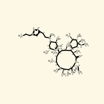 CCCn1cc(CCN(C)[C@H]2C[C@@H](C)O[C@@H](O[C@@H]3[C@@H](C)[C@H](C4C[C@@](C)(OC)[C@@H](O)[C@H](C)O4)[C@@H](C)C(=O)O[C@H](CC)[C@@](C)(O)[C@H](O)[C@@H](C)N(C)C[C@H](C)C[C@@]3(C)O)[C@@H]2O)nn1